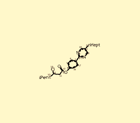 CCCCCCCc1cnc(-c2ccc(OC(=O)CC(Cl)C(C)CCC)cc2)nc1